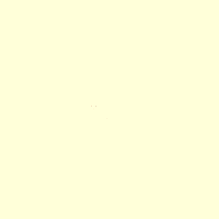 CC12C=CC(C)(CCC1)O2